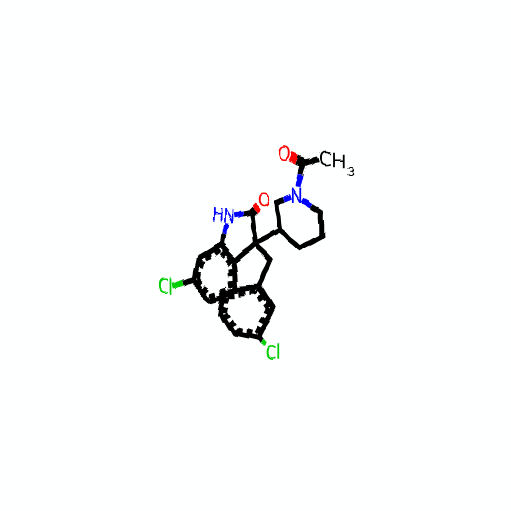 CC(=O)N1CCCC(C2(Cc3cccc(Cl)c3)C(=O)Nc3cc(Cl)ccc32)C1